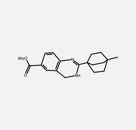 COC(=O)c1ccc2c(c1)CNC(C13CCC(I)(CC1)CC3)=N2